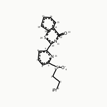 CC(C)CC[S+]([O-])c1cccc(-c2nc(=O)c3ccccc3s2)n1